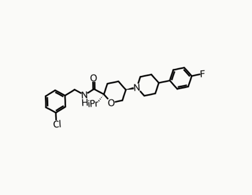 CC(C)[C@]1(C(=O)NCc2cccc(Cl)c2)CC[C@@H](N2CCC(c3ccc(F)cc3)CC2)CO1